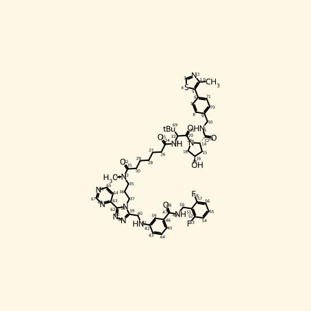 Cc1ncsc1-c1ccc(CNC(=O)[C@@H]2C[C@@H](O)CN2C(=O)C(NC(=O)CCCCCC(=O)N(C)CCCn2c(CNc3cccc(C(=O)NCc4c(F)cccc4F)c3)nnc2-c2ccncn2)C(C)(C)C)cc1